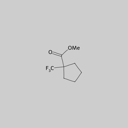 COC(=O)C1(C(F)(F)F)CCCC1